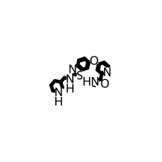 CNC(=O)c1cc(Oc2ccc3nc(NCC4CCCNC4)sc3c2)ccn1